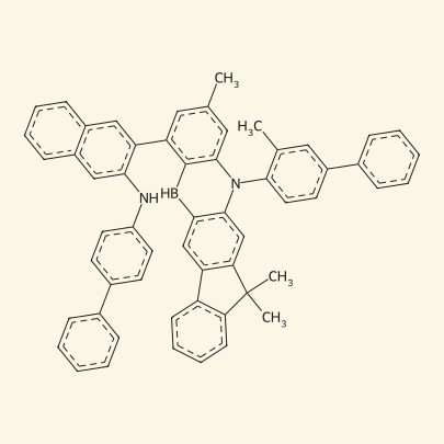 Cc1cc(-c2cc3ccccc3cc2Nc2ccc(-c3ccccc3)cc2)c2c(c1)N(c1ccc(-c3ccccc3)cc1C)c1cc3c(cc1B2)-c1ccccc1C3(C)C